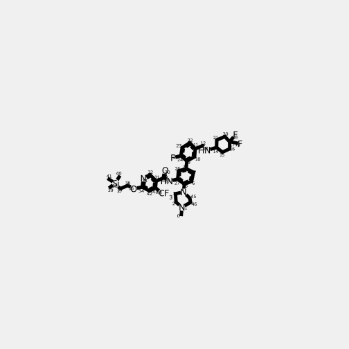 CN1CCN(c2ccc(-c3cc(CNC4CCC(F)(F)CC4)ccc3F)cc2NC(=O)c2cnc(OCC[Si](C)(C)C)cc2C(F)(F)F)CC1